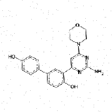 Nc1nc(-c2cc(-c3ccc(O)cc3)ccc2O)cc(N2CCOCC2)n1